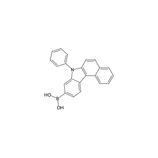 OB(O)c1ccc2c3c4ccccc4ccc3n(-c3ccccc3)c2c1